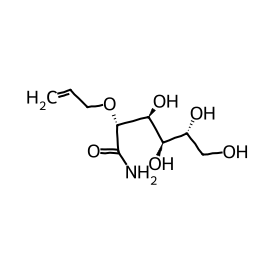 C=CCO[C@@H](C(N)=O)[C@@H](O)[C@H](O)[C@H](O)CO